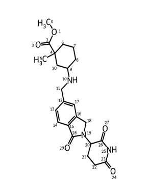 COC(=O)C1(C)CCCC(NCc2ccc3c(c2)CN(C2CCC(=O)NC2=O)C3=O)C1